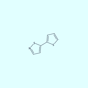 [c]1ccc(-c2ccns2)s1